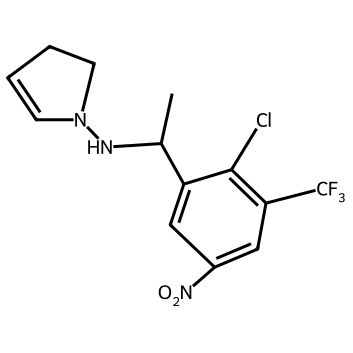 CC(NN1C=CCC1)c1cc([N+](=O)[O-])cc(C(F)(F)F)c1Cl